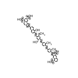 COc1cc(N=Nc2ccc(N=Nc3ccc(N=Nc4cc5c(S(=O)(=O)O)cccc5cc4S(=O)(=O)O)c(C)c3)c(C)c2)c(CO)cc1N=Nc1ccc2cc(-n3nc4ccc5c(S(=O)(=O)O)cc(S(=O)(=O)O)cc5c4n3)ccc2c1O